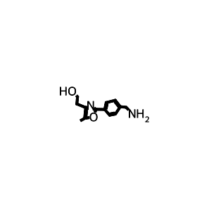 Cc1oc(-c2ccc(CN)cc2)nc1CCO